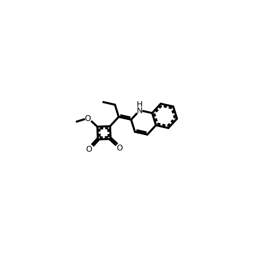 CCC(=C1C=Cc2ccccc2N1)c1c(OC)c(=O)c1=O